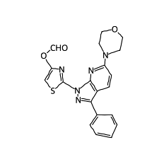 O=COc1csc(-n2nc(-c3ccccc3)c3ccc(N4CCOCC4)nc32)n1